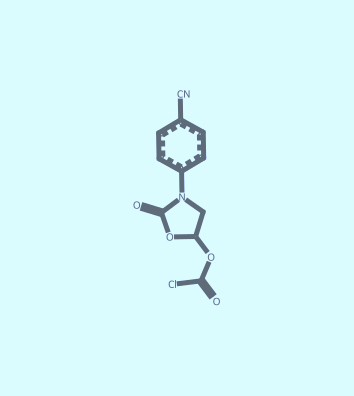 N#Cc1ccc(N2CC(OC(=O)Cl)OC2=O)cc1